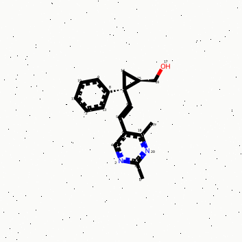 Cc1ncc(/C=C/[C@@]2(c3ccccc3)C[C@H]2CO)c(C)n1